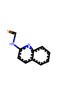 S=[C]Nc1ccc2ccccc2n1